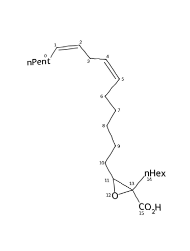 CCCCC/C=C\C/C=C\CCCCCC1OC1(CCCCCC)C(=O)O